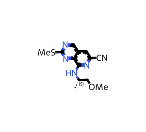 COC[C@H](C)Nc1nc(C#N)cc2cnc(SC)nc12